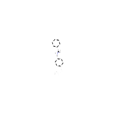 CC(C)Sc1ccc(/N=N/c2ccccc2)cc1